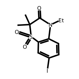 CCN1C(=O)C(C)(C)S(=O)(=O)c2cc(I)ccc21